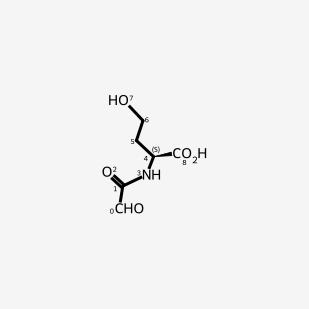 O=CC(=O)N[C@@H](CCO)C(=O)O